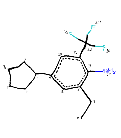 CCc1cc(C2CCCC2)cc(C(F)(F)F)c1N